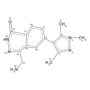 Cc1nn(C)c(C)c1-c1ccc2c(=O)[nH]nc(CN)c2c1